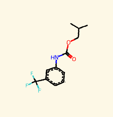 CC(C)COC(=O)Nc1c[c]cc(C(F)(F)F)c1